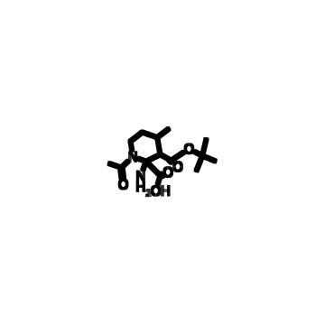 CC(=O)N1CCC(C)C(C(=O)OC(C)(C)C)C1(N)C(=O)O